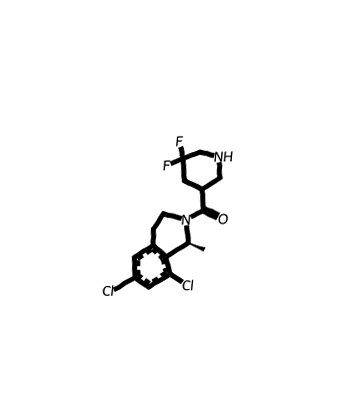 C[C@H]1c2c(Cl)cc(Cl)cc2CCN1C(=O)C1CNCC(F)(F)C1